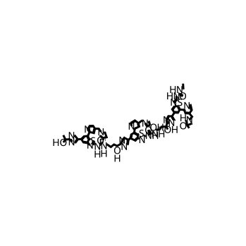 CCNC(=O)Nc1nc2cc(-c3cnc(C(O)CCCNC(=O)Nc4nc5cc(-c6cnc(C(O)CCCNC(=O)Nc7nc8cc(-c9cnc(C(C)O)nc9)cc(-c9cc(CN%10CC[C@H](F)C%10)ccn9)c8s7)nc6)cc(-c6cc(CN7CC(O)C7)ccn6)c5s4)nc3)cc(-c3cc(CN4CC(C)(O)C4)ccn3)c2s1